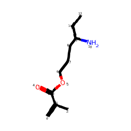 C=C(C)C(=O)OCCCC(N)CC